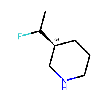 CC(F)[C@H]1CCCNC1